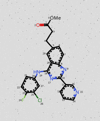 COC(=O)CCc1ccc2nc(-c3cccnc3)nc(Nc3ccc(F)c(Cl)c3)c2c1